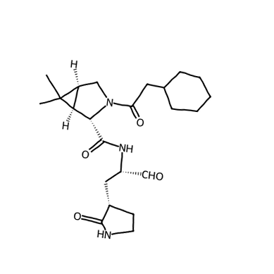 CC1(C)[C@@H]2[C@@H](C(=O)N[C@H](C=O)C[C@@H]3CCNC3=O)N(C(=O)CC3CCCCC3)C[C@@H]21